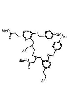 COC(=O)CCc1ccc(OCc2ccc(OC)cc2)c(CN(CCN(CC(=O)OC(C)(C)C)Cc2cc(CCC(C)=O)ccc2OCc2ccc(OC)cc2)CC(C)=O)n1